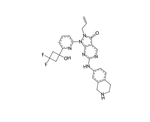 C=CCn1c(=O)c2cnc(Nc3ccc4c(c3)CNCC4)nc2n1-c1cccc(C2(O)CC(F)(F)C2)n1